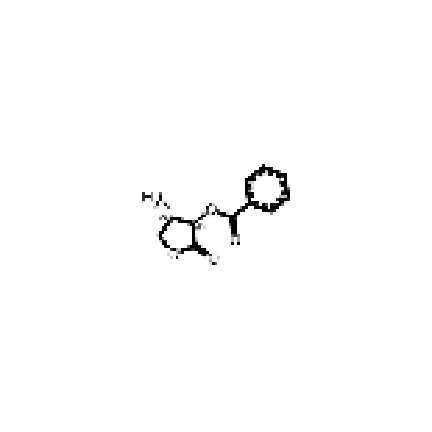 C[C@H]1COC(=O)[C@@H]1OC(=O)c1ccccc1